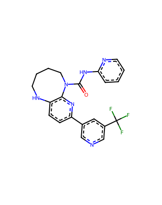 O=C(Nc1ccccn1)N1CCCCNc2ccc(-c3cncc(C(F)(F)F)c3)nc21